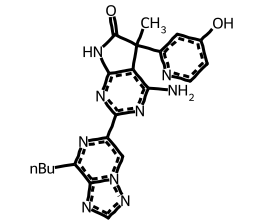 CCCCc1nc(-c2nc(N)c3c(n2)NC(=O)C3(C)c2cc(O)ccn2)cn2ncnc12